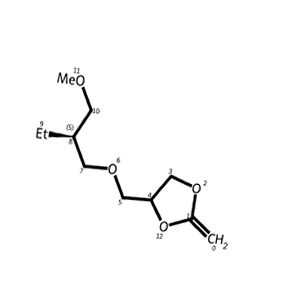 C=C1OCC(COC[C@@H](CC)COC)O1